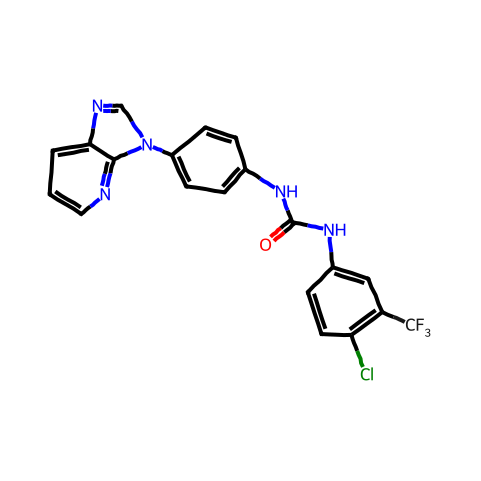 O=C(Nc1ccc(-n2cnc3cccnc32)cc1)Nc1ccc(Cl)c(C(F)(F)F)c1